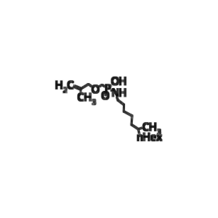 C=C(C)COCP(=O)(O)NCCCCCC(C)CCCCCC